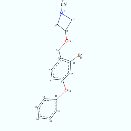 N#CN1CC(OCc2ccc(Oc3ccccc3)cc2Br)C1